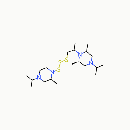 CC(C)N1CCN(SSSCC(C)N2[C@H](C)CN(C(C)C)C[C@@H]2C)[C@@H](C)C1